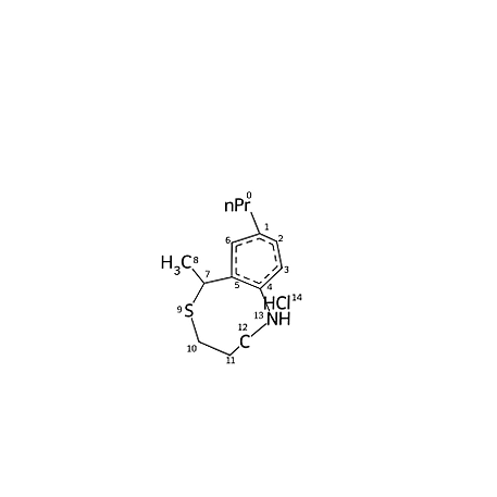 CCCc1ccc2c(c1)C(C)SCCCN2.Cl